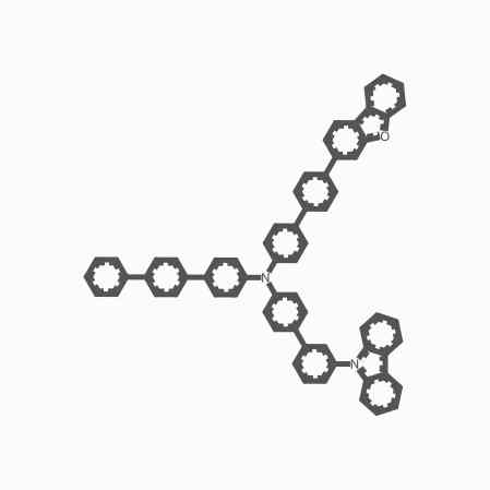 c1ccc(-c2ccc(-c3ccc(N(c4ccc(-c5ccc(-c6ccc7c(c6)oc6ccccc67)cc5)cc4)c4ccc(-c5cccc(-n6c7ccccc7c7ccccc76)c5)cc4)cc3)cc2)cc1